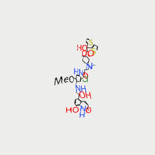 COc1cc(NC(=O)CCN(C)C2CCC(C)(OC(=O)C(O)(c3cccs3)c3cccs3)CC2)c(Cl)cc1CNC[C@@H](O)c1ccc(O)c2[nH]c(=O)ccc12